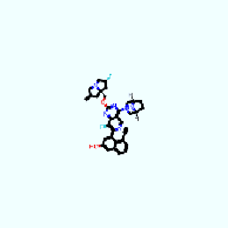 C#Cc1cccc2cc(O)cc(-c3ncc4c(N5C[C@H]6CC[C@@H](C5)N6)nc(OC[C@@]56CC(=C)CN5C[C@@H](F)C6)nc4c3F)c12